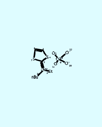 CCCC[N+](CC)=c1sccs1.[O-][Cl+3]([O-])([O-])[O-]